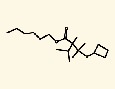 CCCCCCOC(=O)C(C)(C(C)C)C(C)(C)SC1CCC1